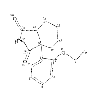 CCOc1ccccc1C12CCCCC1C(=O)NC2=O